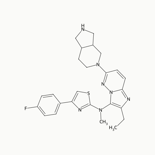 CCc1nc2ccc(N3CCC4CNCC4C3)nn2c1N(C)c1nc(-c2ccc(F)cc2)cs1